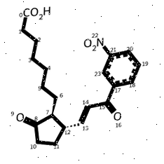 O=C(O)CCCCCC[C@@H]1C(=O)CC[C@H]1C=CC(=O)c1cccc([N+](=O)[O-])c1